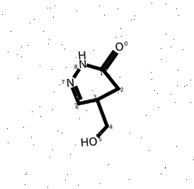 O=C1CC(CO)[C]=NN1